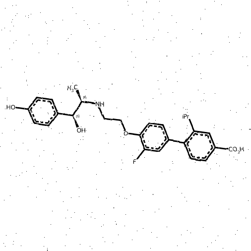 CC(C)c1cc(C(=O)O)ccc1-c1ccc(OCCN[C@H](C)[C@@H](O)c2ccc(O)cc2)c(F)c1